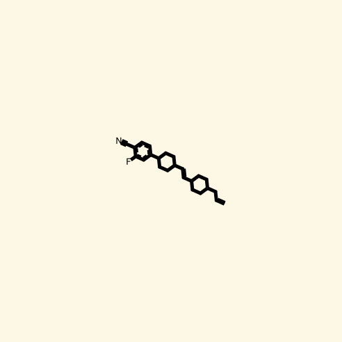 C=CCC1CCC(C=CC2CCC(c3ccc(C#N)c(F)c3)CC2)CC1